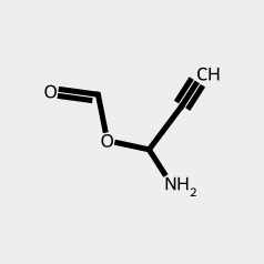 C#CC(N)OC=O